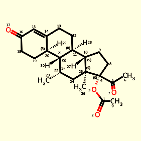 CC(=O)O[C@@]1(C(C)=O)CC[C@H]2[C@@H]3CCC4=CC(=O)CC[C@@H]4[C@H]3[C@@H](C)C[C@@]21C